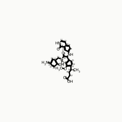 COc1cc(C(Nc2ccc3cc[nH]c(=O)c3c2)C(=O)N(C)Cc2cc(N)ccc2O)ccc1[C@@H](C)CCC(=O)O